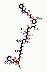 CO[C@@H]1C[C@H](C[C@@H](C)CCC(=O)[C@H](C)/C=C(\C)[C@@H](O)CC(=O)[C@H](C)C[C@H](C)/C=C/C=C/C=C(\C)CCCCC[C@@H](C)C(O)(O)C(=O)C(=O)N2CCCC[C@H]2C(=O)O)CCC1OCCOC(=O)NB(F)Cc1ccccc1